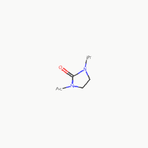 CC(=O)N1CCN(C(C)C)C1=O